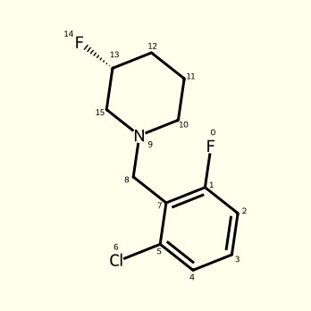 Fc1cccc(Cl)c1CN1CCC[C@@H](F)C1